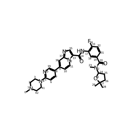 CN1CCN(c2ccc(-c3ccn4c(C(=O)Nc5cc(C(=O)N(C)C6CCC(C)(C)O6)ccc5F)cnc4c3)cn2)CC1